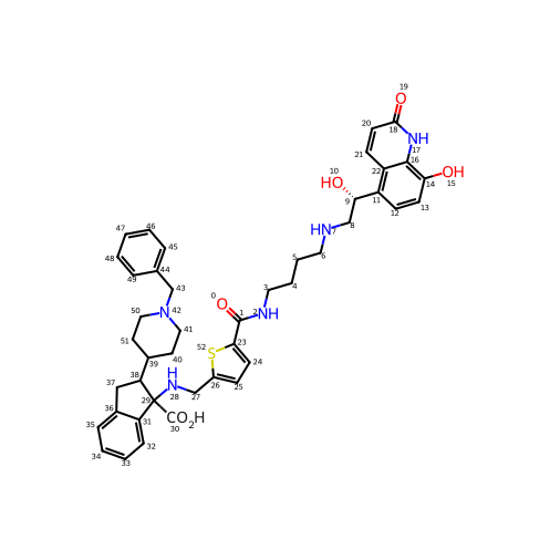 O=C(NCCCCNC[C@H](O)c1ccc(O)c2[nH]c(=O)ccc12)c1ccc(CNC2(C(=O)O)c3ccccc3CC2C2CCN(Cc3ccccc3)CC2)s1